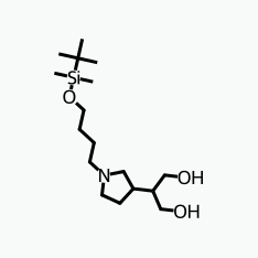 CC(C)(C)[Si](C)(C)OCCCCN1CCC(C(CO)CO)C1